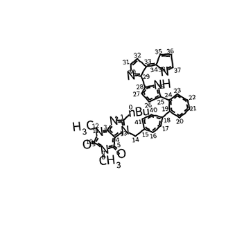 CCCCc1nc2c(c(=O)n(C)c(=O)n2C)n1Cc1ccc(-c2ccccc2-c2ccc(C3=NC=CC3=C3C=CC=N3)[nH]2)cc1